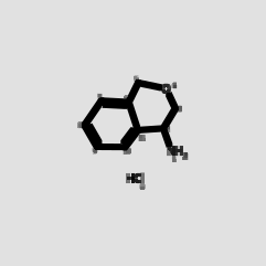 Cl.NC1COCc2ccccc21